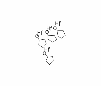 [Hf][O]C1CCCC1.[Hf][O]C1CCCC1.[Hf][O]C1CCCC1.[Hf][O]C1CCCC1